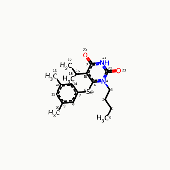 CCCCn1c([Se]c2cc(C)cc(C)c2)c(C(C)C)c(=O)[nH]c1=O